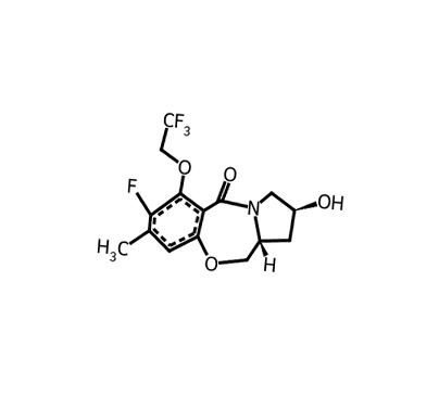 Cc1cc2c(c(OCC(F)(F)F)c1F)C(=O)N1C[C@@H](O)C[C@@H]1CO2